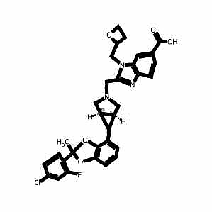 CC1(c2ccc(Cl)cc2F)Oc2cccc(C3[C@H]4CN(Cc5nc6ccc(C(=O)O)cc6n5CC5CCO5)C[C@@H]34)c2O1